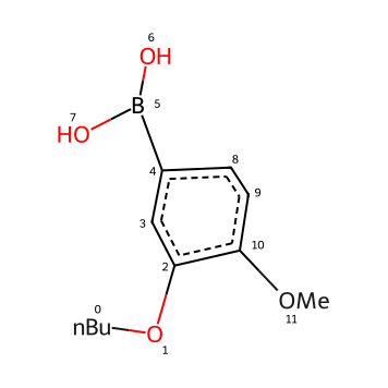 CCCCOc1cc(B(O)O)ccc1OC